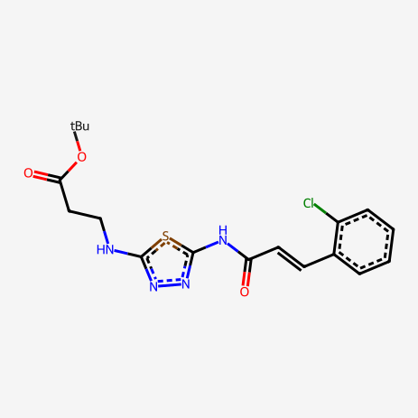 CC(C)(C)OC(=O)CCNc1nnc(NC(=O)C=Cc2ccccc2Cl)s1